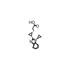 O=C(O)CC[C@H]1C[C@@H]1c1nc2ccccc2n1C1CC1